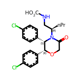 CCC[C@H](CNC(=O)O)N1C(=O)CO[C@H](c2ccc(Cl)cc2)[C@@H]1c1ccc(Cl)cc1